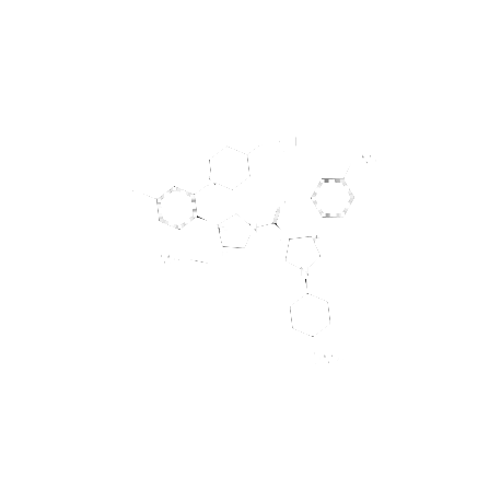 COC[C@H]1CN(C(=O)[C@@H]2CN([C@H]3CC[C@H](OC)CC3)C[C@H]2c2ccc(OC)cc2)C[C@@H]1c1ccc(C(F)(F)F)cc1N1CCC(C(=O)O)CC1